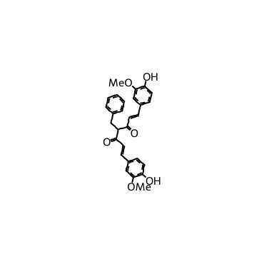 COc1cc(C=CC(=O)C(Cc2ccccc2)C(=O)C=Cc2ccc(O)c(OC)c2)ccc1O